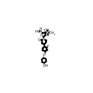 C[C@@](CCn1ccc(-c2ccc(OC[C@H]3CC[C@H](O)CC3)cc2F)cc1=O)(C(=O)NO)S(C)(=O)=O